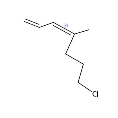 C=C/C=C(/C)CCCCl